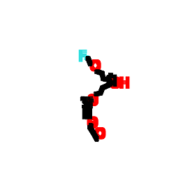 C[SiH](CCCOCC1CO1)OCCCC[Si](C)(O)CCCOCCF